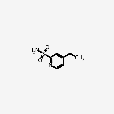 C[CH]c1ccnc(S(N)(=O)=O)c1